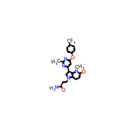 Cc1nc(Oc2ccc(C(F)(F)F)cc2)cc(-c2cn(C=CC(N)=O)c3ccc(=O)n(C)c23)n1